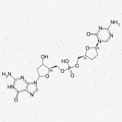 Nc1ncn([C@H]2CC[C@@H](COP(=O)(O)OC[C@H]3OC(n4cnc5c(=O)[nH]c(N)nc54)CC3O)O2)c(=O)n1